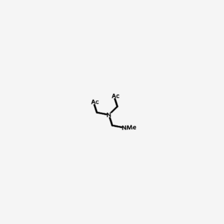 CNCN(CC(C)=O)CC(C)=O